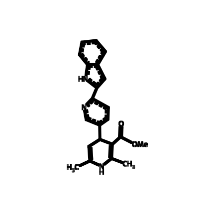 COC(=O)C1=C(C)NC(C)=CC1c1ccc(-c2cc3ccccc3[nH]2)nc1